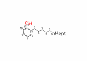 CCCCCCCCCCCCc1ccc[c]c1O